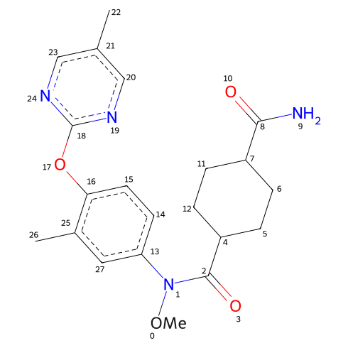 CON(C(=O)C1CCC(C(N)=O)CC1)c1ccc(Oc2ncc(C)cn2)c(C)c1